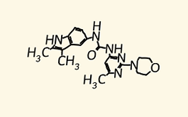 Cc1cc(NC(=O)Nc2ccc3[nH]c(C)c(C)c3c2)nc(N2CCOCC2)n1